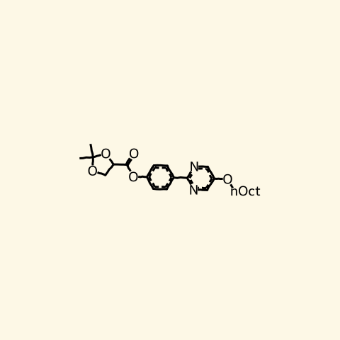 CCCCCCCCOc1cnc(-c2ccc(OC(=O)C3COC(C)(C)O3)cc2)nc1